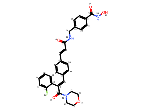 O=C(/C=C/c1ccc(/C=C(/C(=O)N2CCOCC2)c2ccccc2F)cc1)NCc1ccc(C(=O)NO)cc1